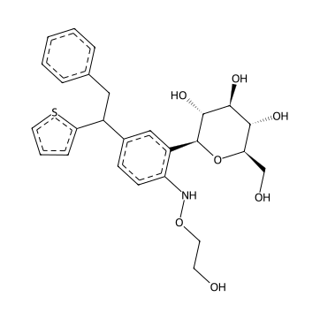 OCCONc1ccc(C(Cc2ccccc2)c2cccs2)cc1[C@@H]1O[C@H](CO)[C@@H](O)[C@H](O)[C@H]1O